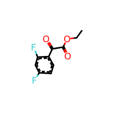 CCOC(=O)C(=O)c1ccc(F)cc1F